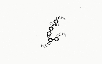 CCOc1cccc(-c2cc(CN3CCN(c4ccc(C(=O)Nc5ccc(OC)cc5)cc4)CC3)cc(OCC)c2)c1